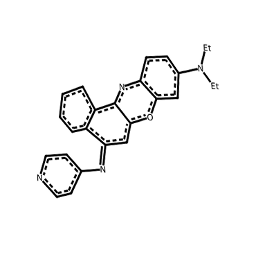 CCN(CC)c1ccc2nc3c4ccccc4/c(=N\c4ccncc4)cc-3oc2c1